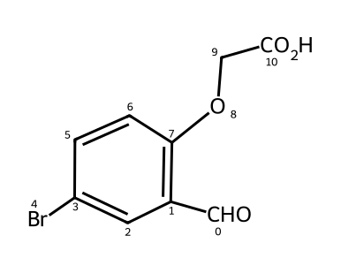 O=Cc1cc(Br)ccc1OCC(=O)O